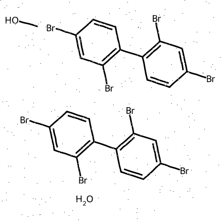 Brc1ccc(-c2ccc(Br)cc2Br)c(Br)c1.Brc1ccc(-c2ccc(Br)cc2Br)c(Br)c1.CO.O